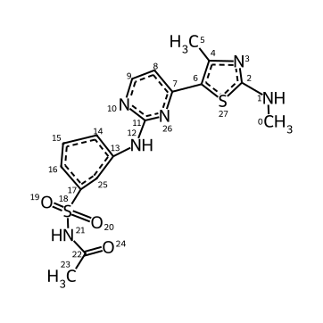 CNc1nc(C)c(-c2ccnc(Nc3cccc(S(=O)(=O)NC(C)=O)c3)n2)s1